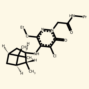 CCOc1nn(CC(=O)NC(C)C)c(=O)c(Cl)c1N[C@@H]1C[C@@H]2C[C@H]([C@H]1C)C2(C)C